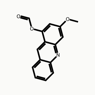 COc1cc(OC=O)c2cc3ccccc3nc2c1